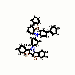 C1=CC2=C(CC1)C1CC=CC(N(c3ccc(-c4ccccc4)cc3)c3ccc(N4C5C6=C(C=CCC6)SC5C5Sc6ccccc6C54)cc3)=C1S2